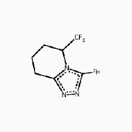 [2H]c1nnc2n1C(C(F)(F)F)CCC2